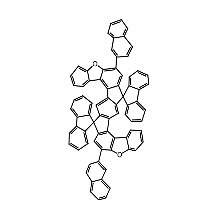 c1ccc2c(c1)-c1ccccc1C21c2cc3c(cc2-c2c1cc(-c1ccc4ccccc4c1)c1oc4ccccc4c21)C1(c2ccccc2-c2ccccc21)c1cc(-c2ccc4ccccc4c2)c2oc4ccccc4c2c1-3